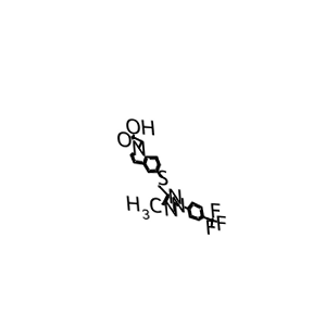 Cc1nn(-c2ccc(C(F)(F)F)cc2)nc1CSc1ccc2c(ccn2CC(=O)O)c1